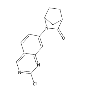 O=C1C2CCC(C2)N1c1ccc2cnc(Cl)nc2c1